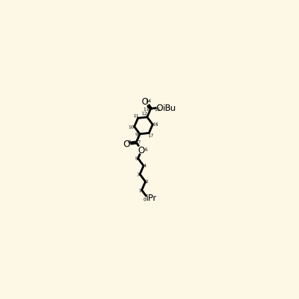 CC(C)CCCCCOC(=O)C1CCC(C(=O)OCC(C)C)CC1